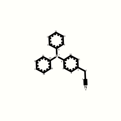 N#CCc1ccc(P(c2ccccc2)c2ccccc2)cc1